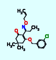 C=CCON=C(CC)C1=C(OCc2cccc(Cl)c2)CC(C)(C)CC1=O